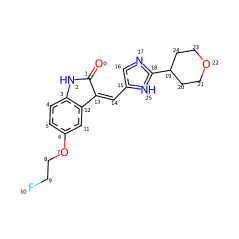 O=C1Nc2ccc(OCCF)cc2/C1=C/c1cnc(C2CCOCC2)[nH]1